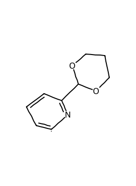 [c]1cccc(C2OCCCO2)n1